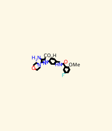 COc1ccc(F)cc1C(=O)NCc1ccc(-n2nc(N3CCOCC3)c(N)c2C(=O)O)cc1